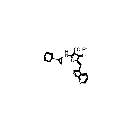 CCOC(=O)C1=C(N[C@@H]2C[C@H]2C2C=CC=CC2)O/C(=C\c2c[nH]c3ncccc23)C1=O